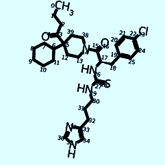 CCCC(=O)C1(C2CCCCC2)CCN(C(=O)[C@@H](Cc2ccc(Cl)cc2)NC(=S)NCCCc2c[nH]cn2)CC1